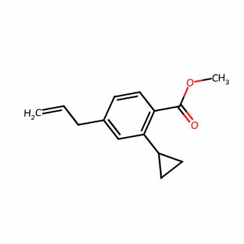 C=CCc1ccc(C(=O)OC)c(C2CC2)c1